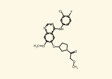 COCC(=O)N1CCC(Oc2cc3c(Nc4ccc(F)c(Cl)c4)ncnc3cc2OC)C1